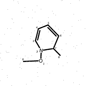 CON1C=CC=CC1C